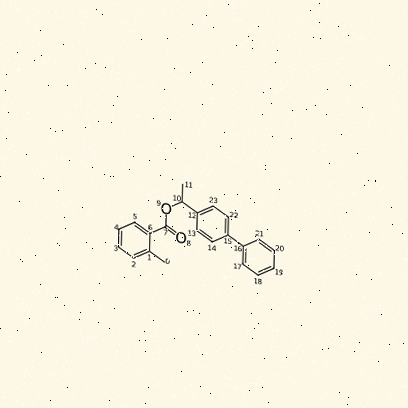 Cc1ccccc1C(=O)OC(C)c1ccc(-c2ccccc2)cc1